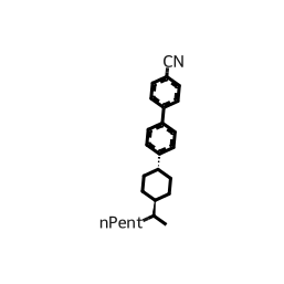 CCCCCC(C)[C@H]1CC[C@H](c2ccc(-c3ccc(C#N)cc3)cc2)CC1